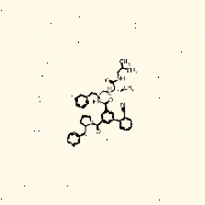 CC[C@H](NC[C@H](Cc1ccccc1)NC(=O)c1cc(C(=O)N2CCCC2Cc2ccccc2)cc(-c2ccccc2C#N)c1)C(=O)NCC(C)C